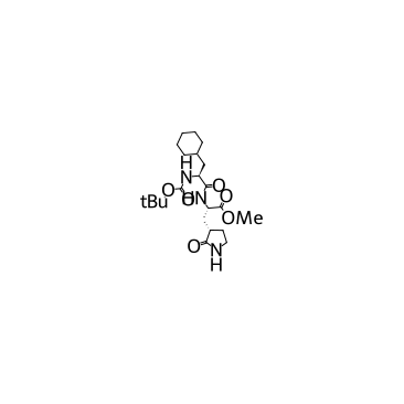 COC(=O)[C@H](C[C@@H]1CCNC1=O)NC(=O)[C@H](CC1CCCCC1)NC(=O)OC(C)(C)C